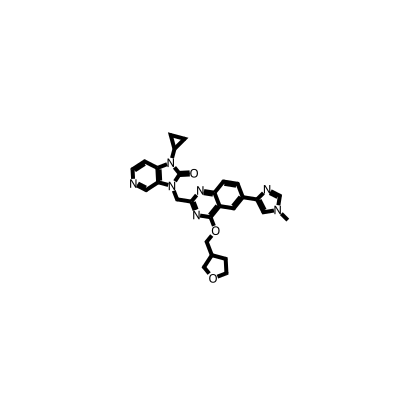 Cn1cnc(-c2ccc3nc(Cn4c(=O)n(C5CC5)c5ccncc54)nc(OCC4CCOC4)c3c2)c1